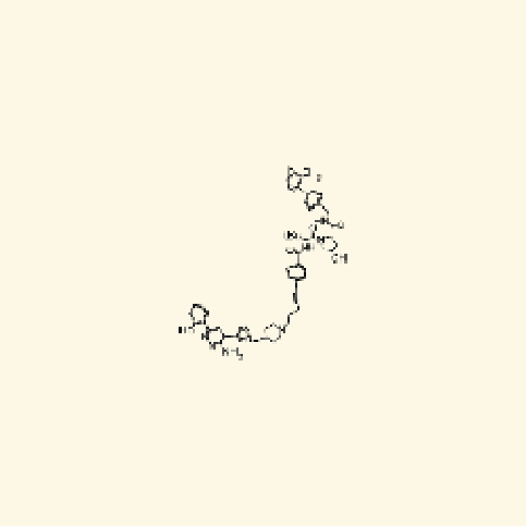 Cc1ncsc1-c1ccc(CNC(=O)[C@@H]2C[C@@H](O)CN2C(=O)[C@@H](NC(=O)c2ccc(C#CCCCN3CCC(Cn4cc(-c5cc(-c6ccccc6O)nnc5N)cn4)CC3)cc2)C(C)(C)C)cc1